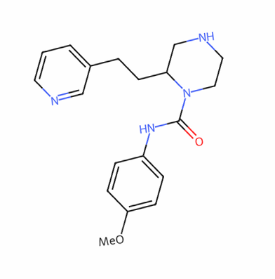 COc1ccc(NC(=O)N2CCNCC2CCc2cccnc2)cc1